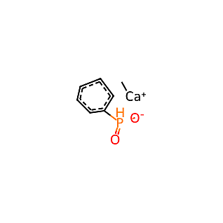 O=[PH]([O-])c1ccccc1.[CH3][Ca+]